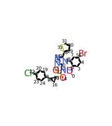 COc1ccc(Br)cc1-n1c(NS(=O)(=O)[C@@H]2C[C@H]2c2ccc(Cl)cc2)nnc1-c1cccs1